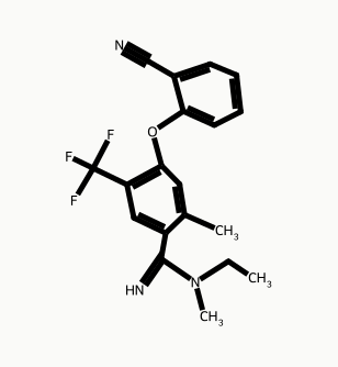 CCN(C)C(=N)c1cc(C(F)(F)F)c(Oc2ccccc2C#N)cc1C